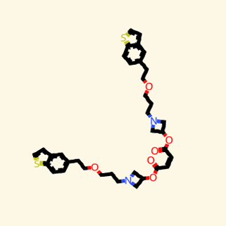 O=C(/C=C\C(=O)OC1CN(CCCOCCc2ccc3sccc3c2)C1)OC1CN(CCCOCCc2ccc3sccc3c2)C1